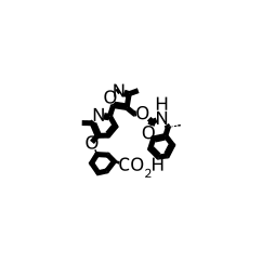 Cc1nc(-c2onc(C)c2COC(=O)N[C@H](C)c2ccccc2)ccc1O[C@H]1CCC[C@H](C(=O)O)C1